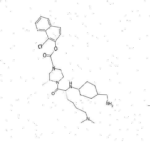 C[C@@H]1CN(C(=O)Oc2ccc3ccccc3c2Cl)CCN1C(=O)[C@@H](CCCCN(C)C)NC1CCC(CN)CC1